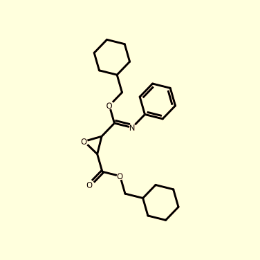 O=C(OCC1CCCCC1)C1OC1C(=Nc1ccccc1)OCC1CCCCC1